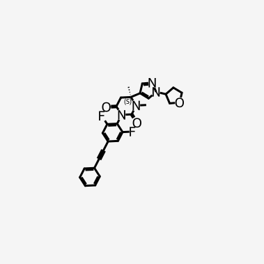 CN1C(=O)N(c2c(F)cc(C#Cc3ccccc3)cc2F)C(=O)C[C@@]1(C)c1cnn(C2CCOC2)c1